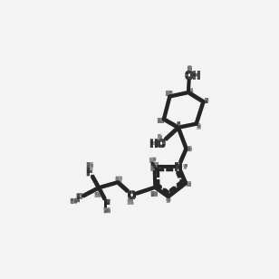 OC1CCC(O)(Cn2ccc(OCC(F)(F)F)n2)CC1